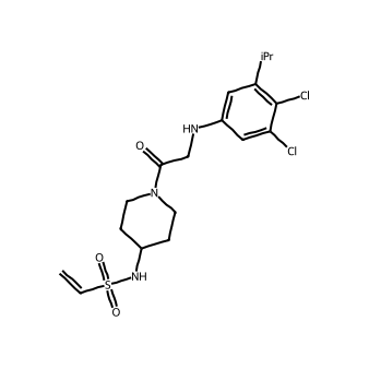 C=CS(=O)(=O)NC1CCN(C(=O)CNc2cc(Cl)c(Cl)c(C(C)C)c2)CC1